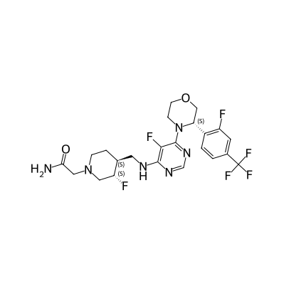 NC(=O)CN1CC[C@@H](CNc2ncnc(N3CCOC[C@@H]3c3ccc(C(F)(F)F)cc3F)c2F)[C@H](F)C1